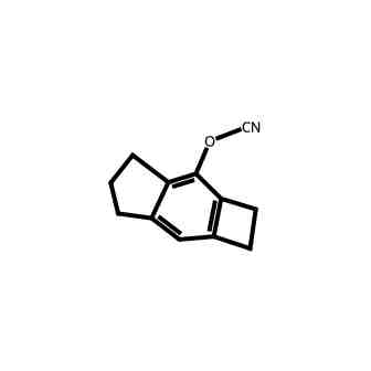 N#COc1c2c(cc3c1CC3)CCC2